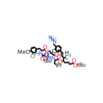 COc1ccc(CC(NC(=O)OC(C)(C)C)C(=O)NCC(C)(C)C(=O)NC(CC(C)C)C(=O)OC(C/C=C/C(=O)OC(C)(C)C)C(C)/C=C/c2ccc(CN=[N+]=[N-])cc2)cc1Cl